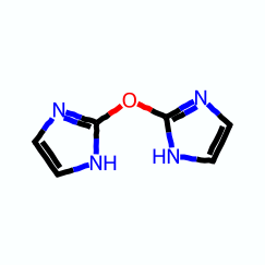 c1c[nH]c(Oc2ncc[nH]2)n1